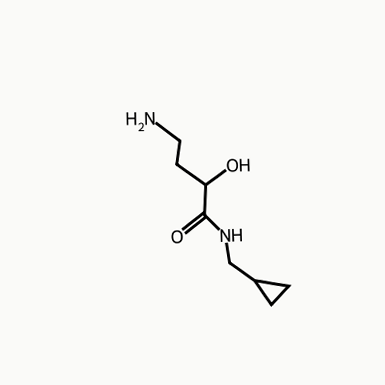 NCCC(O)C(=O)NCC1CC1